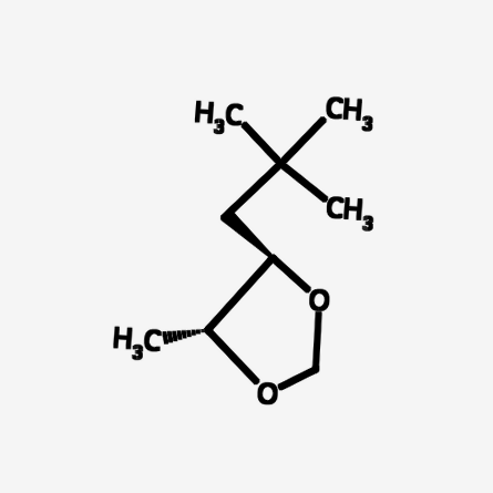 C[C@H]1OCO[C@@H]1CC(C)(C)C